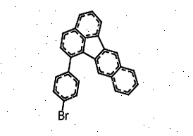 Brc1ccc(-c2ccc3cccc4c3c2-c2cc3ccccc3cc2-4)cc1